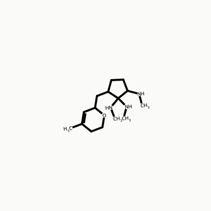 CNC1CCC(CC2C=C(C)CCO2)C1(NC)NC